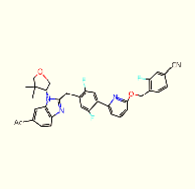 CC(=O)c1ccc2nc(Cc3cc(F)c(-c4cccc(OCc5ccc(C#N)cc5F)n4)cc3F)n([C@@H]3COCC3(C)C)c2c1